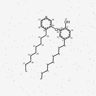 CCCCCCCCCc1ccc(O)cc1.CCCCCCCCCc1ccccc1O